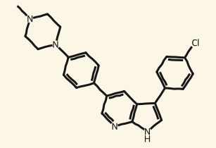 CN1CCN(c2ccc(-c3cnc4[nH]cc(-c5ccc(Cl)cc5)c4c3)cc2)CC1